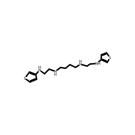 c1cc(NCCNCCCCNCCNc2ccsc2)cs1